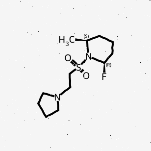 C[C@H]1CCC[C@@H](F)N1S(=O)(=O)CCN1CCCC1